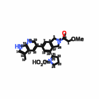 COCC(=O)N1Cc2cc(-c3cnc4[nH]cc(C)c4c3)cc([C@@H]3CCCN3C(=O)O)c2C1